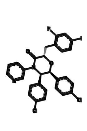 O=C1[C@H](Cc2ccc(I)cc2F)O[C@@H](c2ccc(Cl)cc2)[C@@H](c2ccc(Cl)cc2)N1c1cccnc1